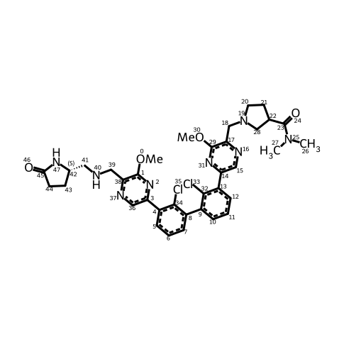 COc1nc(-c2cccc(-c3cccc(-c4cnc(CN5CCC(C(=O)N(C)C)C5)c(OC)n4)c3Cl)c2Cl)cnc1CNC[C@@H]1CCC(=O)N1